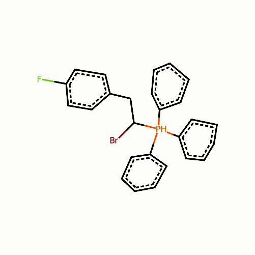 Fc1ccc(CC(Br)[PH](c2ccccc2)(c2ccccc2)c2ccccc2)cc1